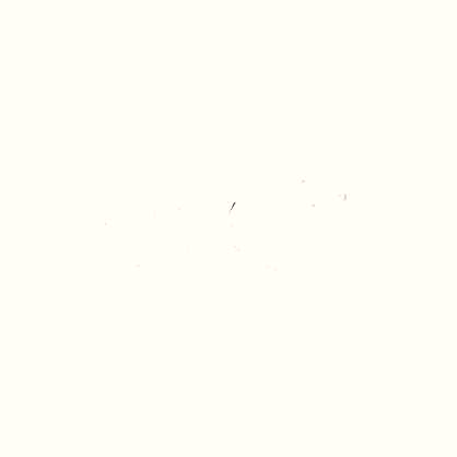 C[C@@H]1Cc2c([nH]c3ccccc23)[C@@H](c2ccc(CC3CNC3)s2)N1CC(C)(C)F